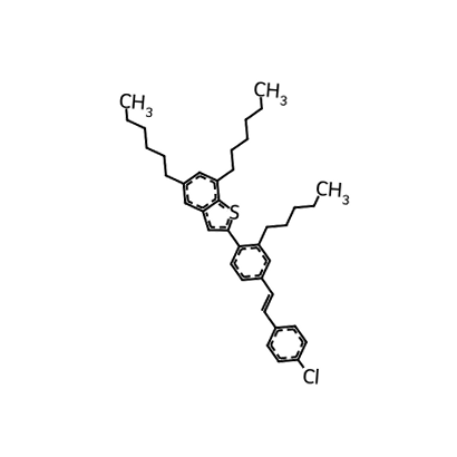 CCCCCCc1cc(CCCCCC)c2sc(-c3ccc(C=Cc4ccc(Cl)cc4)cc3CCCCC)cc2c1